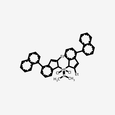 CCC1=Cc2c(-c3cccc4ccccc34)cccc2[CH]1[Hf]([Cl])([Cl])([CH]1C(CC)=Cc2c(-c3cccc4ccccc34)cccc21)=[Si](C)C